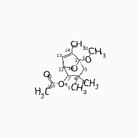 COC12CC(C)(C)C(OC(C)=O)C(C=C1C)O2